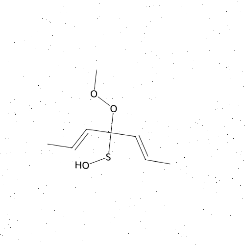 CC=CC(C=CC)(OOC)SO